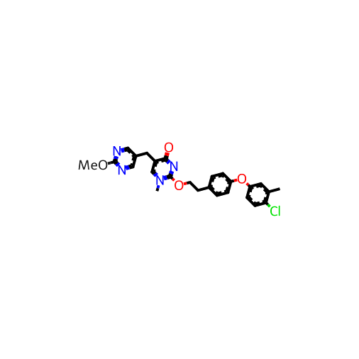 COc1ncc(Cc2cn(C)c(OCCc3ccc(Oc4ccc(Cl)c(C)c4)cc3)nc2=O)cn1